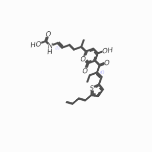 CCCCc1ccc(/C=C(\CC)C(=O)c2c(O)cc(C(C)CC/C=C/NC(=O)O)oc2=O)s1